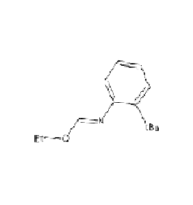 CCO/C=N/c1ccccc1C(C)(C)C